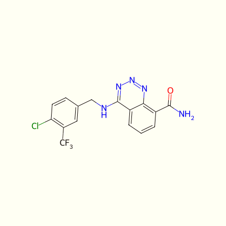 NC(=O)c1cccc2c(NCc3ccc(Cl)c(C(F)(F)F)c3)nnnc12